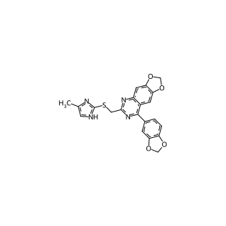 Cc1c[nH]c(SCc2nc(-c3ccc4c(c3)OCO4)c3cc4c(cc3n2)OCO4)n1